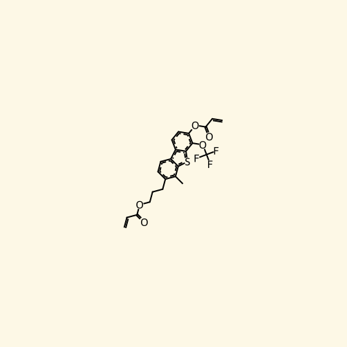 C=CC(=O)OCCCc1ccc2c(sc3c(OC(F)(F)F)c(OC(=O)C=C)ccc32)c1C